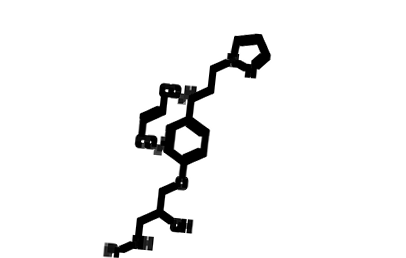 CC(C)NCC(O)COc1ccc(CCCn2cccn2)cc1.O=C(O)C=CC(=O)O